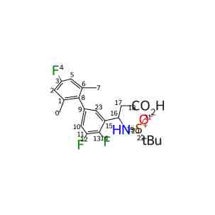 Cc1cc(F)cc(C)c1-c1cc(F)c(F)c(C(CC(=O)O)N[S@+]([O-])C(C)(C)C)c1